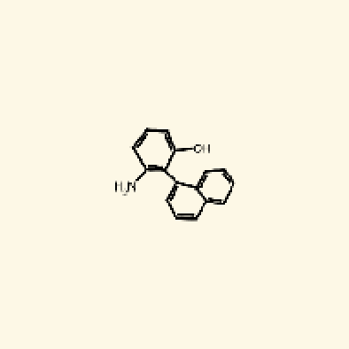 Nc1cccc(O)c1-c1cccc2ccccc12